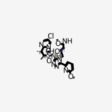 COC(=N)/C=C(\O)Cn1c(NS(=O)(=O)[C@@H](C)[C@H](C)c2ncc(Cl)cn2)nnc1-c1cccc(OC)n1